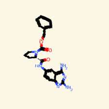 Nc1nc(N)c2cc(NC(=O)[C@@H]3CCCN3C(=O)OCc3ccccc3)ccc2n1